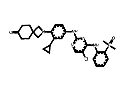 CP(C)(=O)c1ccccc1Nc1nc(Nc2ccc(N3CC4(CCC(=O)CC4)C3)c(C3CC3)c2)ncc1Cl